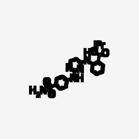 CC(C)OC(=O)c1ccccc1Nc1ccnc(Nc2ccc(S(N)(=O)=O)cc2)n1